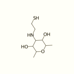 CC1OC(C)C(O)C(NCCS)C1O